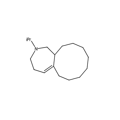 CC(C)N1CCC=C2CCCCCCCCC2C1